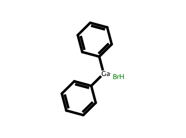 Br.c1cc[c]([Ga][c]2ccccc2)cc1